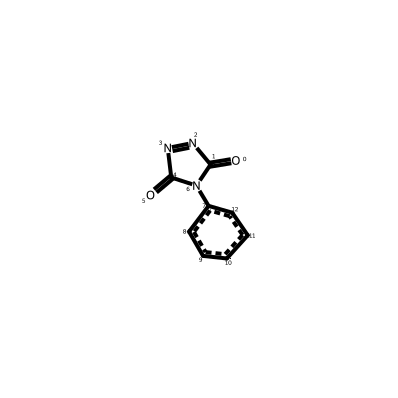 O=C1N=NC(=O)N1c1cc[c]cc1